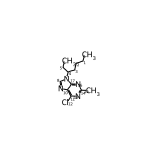 CCCCC(CC)n1cnc2c(Cl)nc(C)nc21